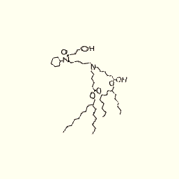 CCCCCCCCC(CCCCCC)COC(=O)CCCCCN(CCCCCC(O)OCC(CCCCCC)CCCCCCCC)CCCCN(C(=O)CCO)C1CCCCC1